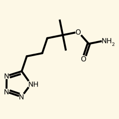 CC(C)(CCCc1nnn[nH]1)OC(N)=O